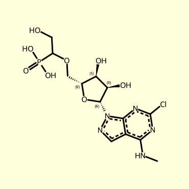 CNc1nc(Cl)nc2c1cnn2[C@@H]1O[C@H](COC(CO)P(=O)(O)O)[C@@H](O)[C@H]1O